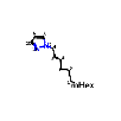 CCCCCCCCCCCCn1cccn1